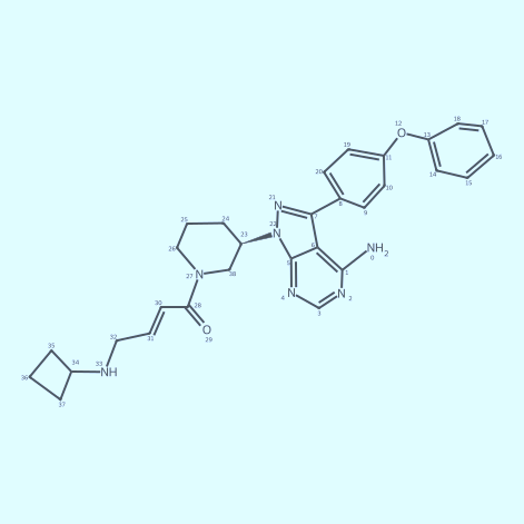 Nc1ncnc2c1c(-c1ccc(Oc3ccccc3)cc1)nn2[C@@H]1CCCN(C(=O)C=CCNC2CCC2)C1